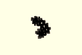 [2H]C([2H])([2H])c1ccc(CN2CC[C@H](O[Si](C)(C)C(C)(C)C)C2=O)cc1